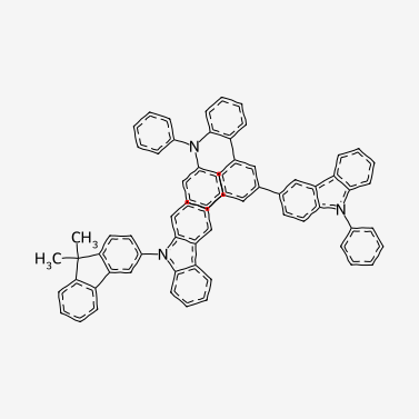 CC1(C)c2ccccc2-c2cc(-n3c4ccccc4c4cc(-c5cc(-c6ccc7c(c6)c6ccccc6n7-c6ccccc6)cc(-c6ccccc6N(c6ccccc6)c6ccccc6)c5)ccc43)ccc21